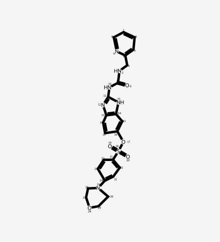 O=C(NCc1ccccn1)Nc1nc2ccc(OS(=O)(=O)c3ccc(N4CCOCC4)cc3)cc2[nH]1